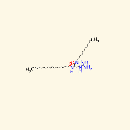 CCCCCCCCC=CCCCCCCCC(=O)NC(CCNC(=N)N)C(=O)NCCCCCCCCCCCC